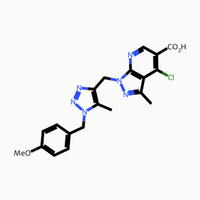 COc1ccc(Cn2nnc(Cn3nc(C)c4c(Cl)c(C(=O)O)cnc43)c2C)cc1